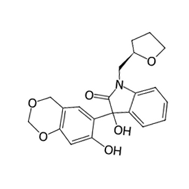 O=C1N(C[C@H]2CCCO2)c2ccccc2C1(O)c1cc2c(cc1O)OCOC2